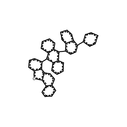 c1ccc(-c2ccc(-c3c4ccccc4c(-c4cccc5oc6c7ccccc7ccc6c45)c4ccccc34)c3ccccc23)cc1